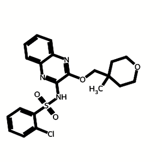 CC1(COc2nc3ccccc3nc2NS(=O)(=O)c2ccccc2Cl)CCOCC1